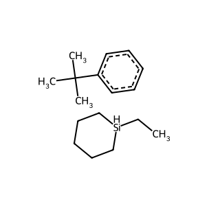 CC(C)(C)c1ccccc1.CC[SiH]1CCCCC1